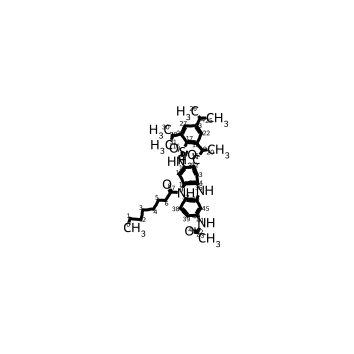 CCCCCCCC(=O)Nc1cc(NS(=O)(=O)c2c(C(C)C)cc(C(C)C)cc2C(C)C)ccc1Nc1cccc(NC(C)=O)c1